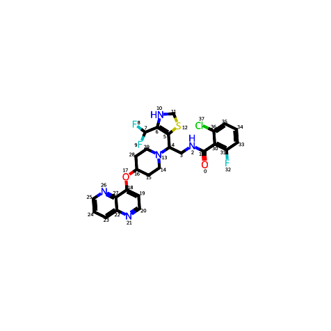 O=C(NCC(C1=C(C(F)F)NCS1)N1CCC(Oc2ccnc3cccnc23)CC1)c1c(F)cccc1Cl